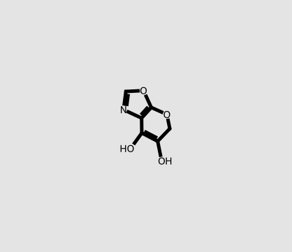 OC1=C(O)c2ncoc2OC1